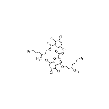 CC(C)CCCC(C)CCOC(=O)c1c(Cl)c(Cl)cc(Cl)c1OC(=O)C(=O)Oc1c(Cl)cc(Cl)c(Cl)c1C(=O)OCCC(C)CCCC(C)C